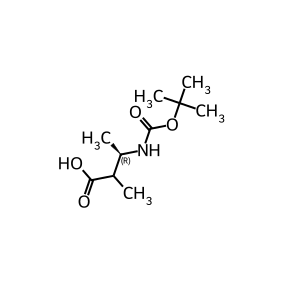 CC(C(=O)O)[C@@H](C)NC(=O)OC(C)(C)C